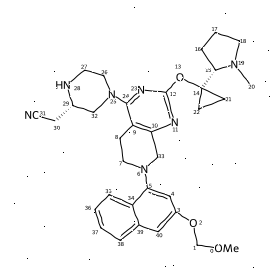 COCOc1cc(N2CCc3c(nc(OC4([C@@H]5CCCN5C)CC4)nc3N3CCN[C@@H](CC#N)C3)C2)c2ccccc2c1